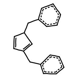 C1=CC(Cc2ccccc2)=C[C]1Cc1ccccc1